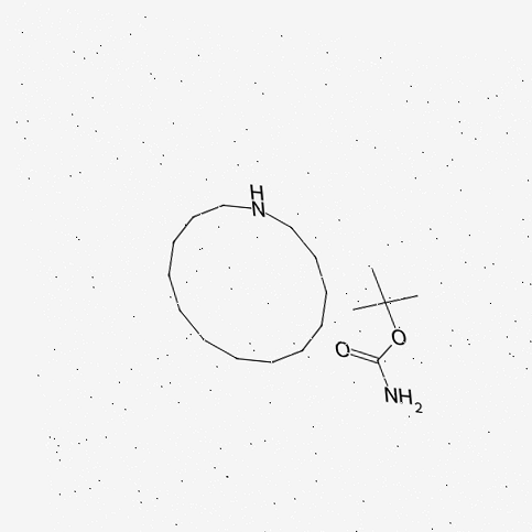 C1CCCCCCNCCCCCC1.CC(C)(C)OC(N)=O